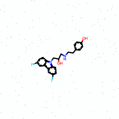 Oc1ccc(CCNCC(O)Cn2c3ccc(F)cc3c3cc(F)ccc32)cc1